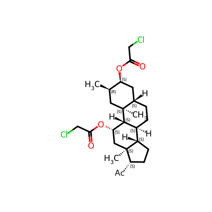 CC(=O)[C@H]1CC[C@H]2[C@@H]3CC[C@H]4C[C@H](OC(=O)CCl)[C@H](C)C[C@]4(C)[C@H]3[C@@H](OC(=O)CCl)C[C@]12C